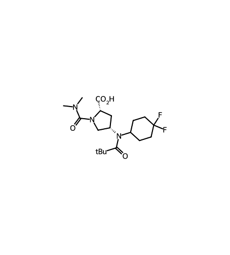 CN(C)C(=O)N1C[C@@H](N(C(=O)C(C)(C)C)C2CCC(F)(F)CC2)C[C@H]1C(=O)O